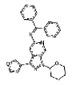 c1ccc(C(=Nc2cc3c(-c4ccoc4)nn(C4CCCCO4)c3cn2)c2ccccc2)cc1